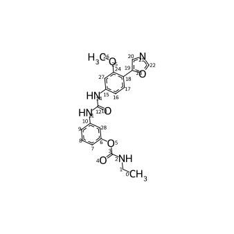 CCNC(=O)Oc1cccc(NC(=O)Nc2ccc(-c3cnco3)c(OC)c2)c1